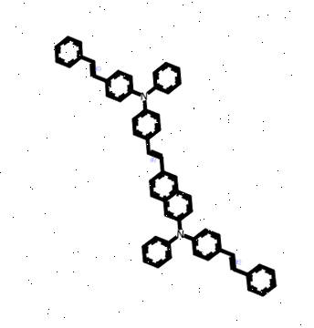 C(=C\c1ccc(N(c2ccccc2)c2ccc(/C=C/c3ccc4cc(N(c5ccccc5)c5ccc(/C=C/c6ccccc6)cc5)ccc4c3)cc2)cc1)/c1ccccc1